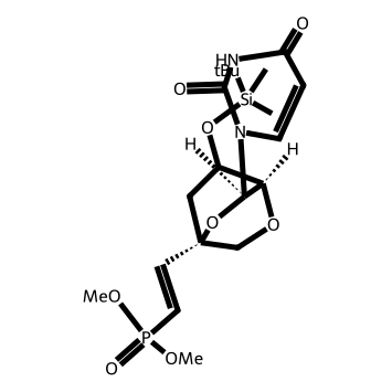 COP(=O)(/C=C/[C@]12CO[C@H](C(O[Si](C)(C)C(C)(C)C)C1)[C@H](n1ccc(=O)[nH]c1=O)O2)OC